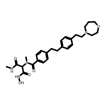 CNC(=O)C(C(=O)NO)N(C)C(=O)c1ccc(CCc2ccc(CCN3CCCOCC3)cc2)cc1